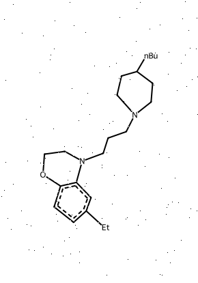 CCCCC1CCN(CCCN2CCOc3ccc(CC)cc32)CC1